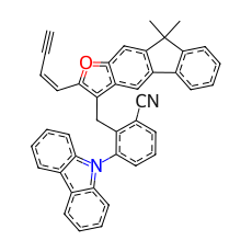 C#C/C=C\c1oc2cc3c(cc2c1Cc1c(C#N)cccc1-n1c2ccccc2c2ccccc21)-c1ccccc1C3(C)C